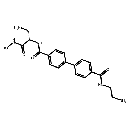 NCCNC(=O)c1ccc(-c2ccc(C(=O)N[C@@H](CN)C(=O)NO)cc2)cc1